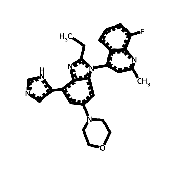 CCc1nc2c(-c3cnc[nH]3)cc(N3CCOCC3)cc2n1-c1cc(C)nc2c(F)cccc12